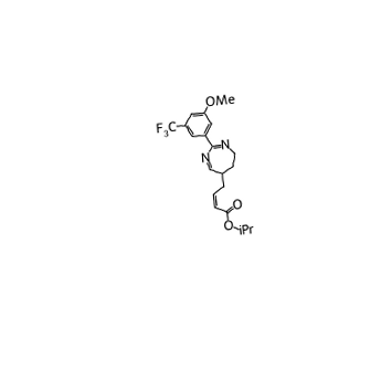 COc1cc(C2=NCCC(C/C=C\C(=O)OC(C)C)C=N2)cc(C(F)(F)F)c1